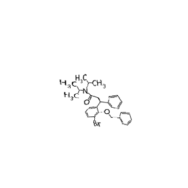 CC(C)N(C(=O)C[C@@H](c1ccccc1)c1cccc(Br)c1OCc1ccccc1)C(C)C